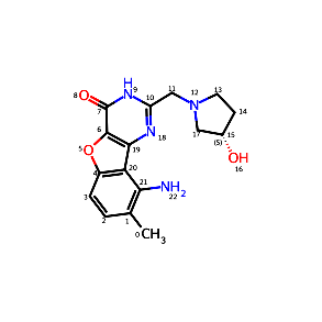 Cc1ccc2oc3c(=O)[nH]c(CN4CC[C@H](O)C4)nc3c2c1N